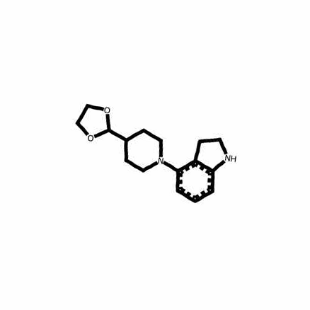 c1cc2c(c(N3CCC(C4OCCO4)CC3)c1)CCN2